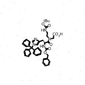 CC(C)(C)OC(=O)NCCN(CC(=O)O)C(=O)[C@H](Cc1cn(C(c2ccccc2)(c2ccccc2)c2ccccc2)cn1)NC(=O)OCc1ccccc1